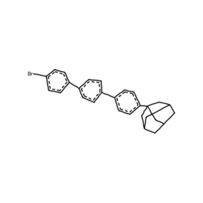 Brc1ccc(-c2ccc(-c3ccc(C45CC6CC(CC(C6)C4)C5)cc3)cc2)cc1